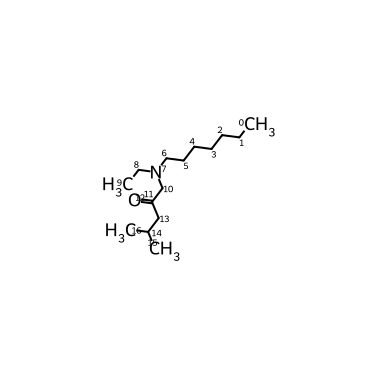 CCCCCCCN(CC)CC(=O)CC(C)C